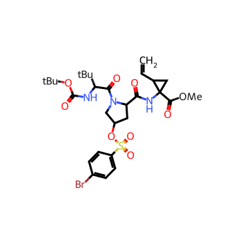 C=CC1CC1(NC(=O)C1CC(OS(=O)(=O)c2ccc(Br)cc2)CN1C(=O)C(NC(=O)OC(C)(C)C)C(C)(C)C)C(=O)OC